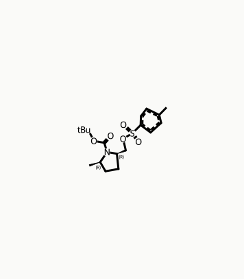 Cc1ccc(S(=O)(=O)OC[C@H]2CC[C@@H](C)N2C(=O)OC(C)(C)C)cc1